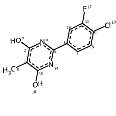 Cc1c(O)nc(-c2ccc(Cl)c(F)c2)nc1O